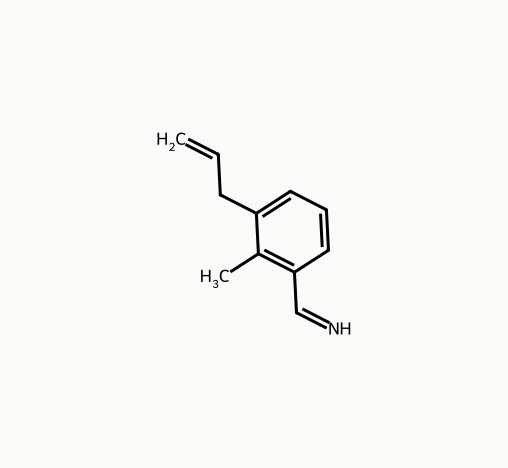 C=CCc1cccc(C=N)c1C